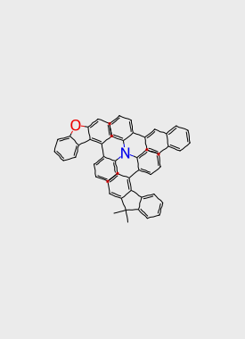 CC1(C)c2ccccc2-c2c(-c3ccccc3N(c3ccccc3-c3ccc4ccccc4c3)c3ccccc3-c3cccc4oc5ccccc5c34)cccc21